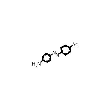 CC(=O)c1ccc(N=Nc2ccc(N)cc2)cc1